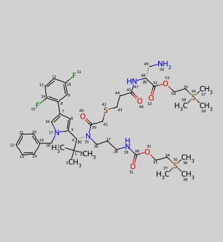 CC(C)(C)[C@H](c1cc(-c2cc(F)ccc2F)cn1Cc1ccccc1)N(CCCNC(=O)OCCS(C)(C)C)C(=O)CSCCC(=O)N[C@H](CN)C(=O)OCCS(C)(C)C